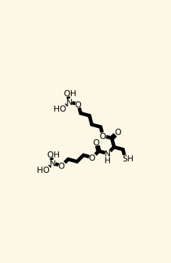 O=C(NC(CS)C(=O)OCCCCON(O)O)OCCCON(O)O